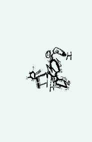 Cc1cccc(Nc2nc3cc(C(=O)O)ccc3c3c2[nH]c2ccncc23)c1